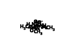 CCCCNc1nc(C)c(C(=O)OCC)c(N)c1[N+](=O)[O-]